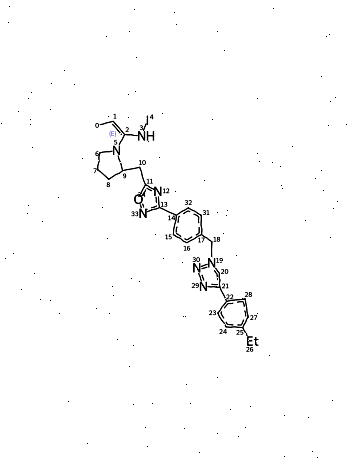 C/C=C(/NI)N1CCCC1Cc1nc(-c2ccc(Cn3cc(-c4ccc(CC)cc4)nn3)cc2)no1